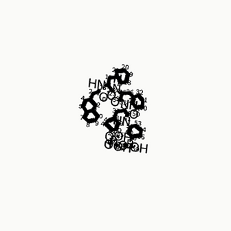 O=C(Cc1ccc2ccccc2c1)NC(Cc1ccccc1)C(=O)NC(Cc1ccccc1)C(=O)NC(Cc1ccc(OP(=O)(O)O)cc1)C(=O)Nc1cccc(B(O)O)c1